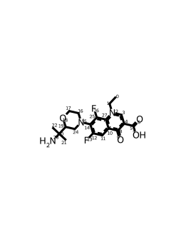 CCn1cc(C(=O)O)c(=O)c2cc(F)c(N3CCOC(C(C)(C)N)C3)c(F)c21